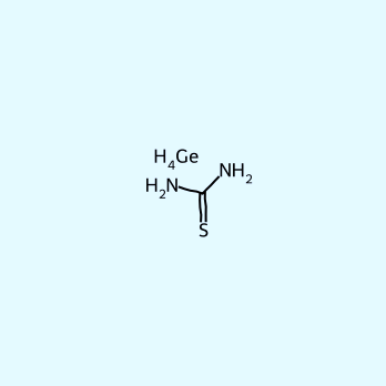 NC(N)=S.[GeH4]